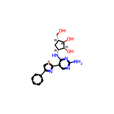 Nc1ncc(-c2nc(-c3ccccc3)cs2)c(N[C@@H]2C[C@H](CO)[C@@H](O)[C@H]2O)n1